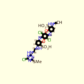 C#CNc1ccc2c(c1S(=O)(=O)O)Oc1c(Cl)c3c(c(Cl)c1=N2)Oc1c(ccc(NCCNc2nc(Cl)nc(SC)n2)c1S(=O)(=O)O)N=3